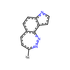 [2H]c1ccc2ccc3nccc3c2nn1